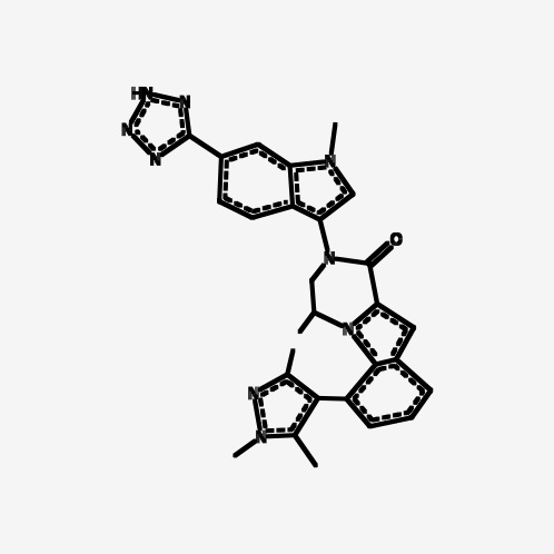 Cc1nn(C)c(C)c1-c1cccc2cc3n(c12)C(C)CN(c1cn(C)c2cc(-c4nn[nH]n4)ccc12)C3=O